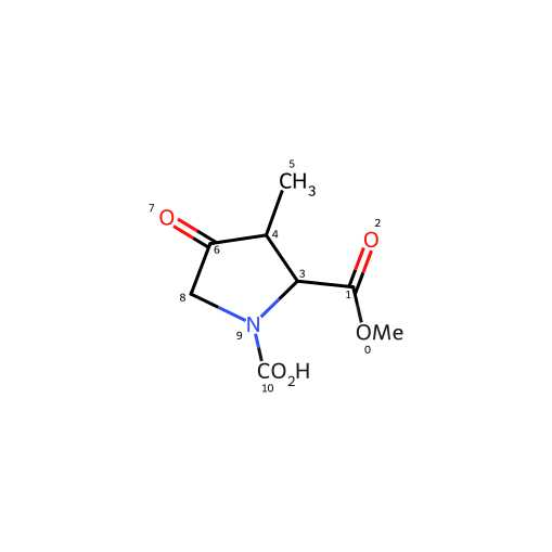 COC(=O)C1C(C)C(=O)CN1C(=O)O